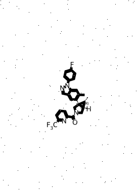 Cc1cc2c(cnn2-c2ccc(F)cc2)cc1[C@@]12CN(C(=O)c3cccc(C(F)(F)F)n3)C[C@@H]1[C@H]2C